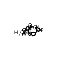 CS(=O)(=O)N[C@H]1CCCN2C(=O)COc3ncc(F)cc3C3CCC(CC3)OCC12